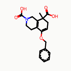 CC1(C(=O)O)CC=C(OCc2ccccc2)C2=C1CN(C(=O)O)CC2